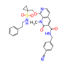 Cn1c(=O)c(C(=O)NCc2ccc(C#N)cc2)cc2ccnc(OCC3(S(=O)(=O)NCCc4ccccc4)CC3)c21